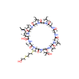 C/C=C/C[C@@H](C)[C@@H](O)[C@H]1C(=O)N[C@@H](CC)C(=O)N(C)[C@H](CSCCCSCCO)C(=O)N(C)[C@@H](CC(C)(C)O)C(=O)N[C@@H](C(C)C)C(=O)N(C)[C@@H](CC(C)C)C(=O)N[C@@H](C)C(=O)N[C@H](C)C(=O)N(C)[C@@H](CC(C)C)C(=O)N(C)[C@@H](CC(C)C)C(=O)N(C)[C@@H](C(C)C)C(=O)N1C